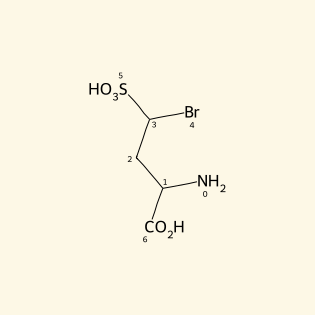 NC(CC(Br)S(=O)(=O)O)C(=O)O